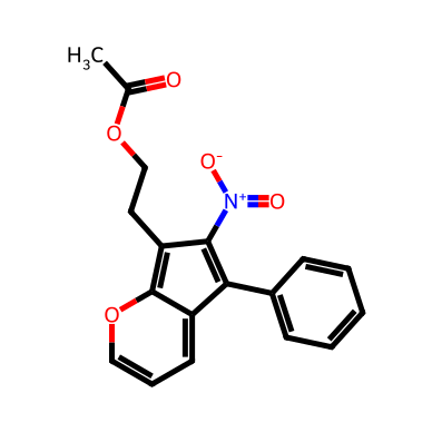 CC(=O)OCCc1c2occcc-2c(-c2ccccc2)c1[N+](=O)[O-]